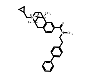 C[C@@H]1[C@H]2Cc3ccc(C(=O)N(C)CCc4ccc(-c5ccccc5)cc4)cc3[C@]1(C)CCN2CC1CC1